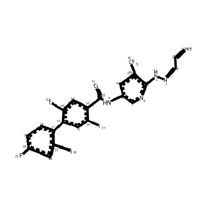 N=C/C=N\Nc1ncc(NC(=O)c2cc(F)c(-c3ccc(F)cc3I)cc2I)cc1C(F)(F)F